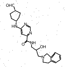 O=C[C@H]1CC[C@@H](Nc2cc(C(=O)NCC(O)CN3CCc4ccccc4C3)ncn2)CC1